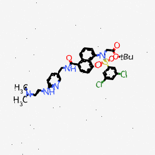 CN(C)CCNc1ccc(CNC(=O)c2cccc3c(N(CC(=O)OC(C)(C)C)S(=O)(=O)c4cc(Cl)cc(Cl)c4)cccc23)cn1